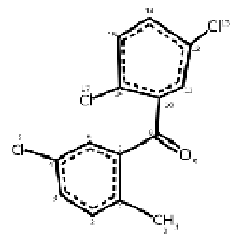 Cc1ccc(Cl)cc1C(=O)c1cc(Cl)ccc1Cl